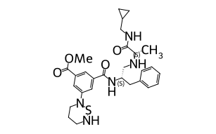 COC(=O)c1cc(C(=O)N[C@H](CN[C@@H](C)C(=O)NCC2CC2)Cc2ccccc2)cc(N2CCCNS2)c1